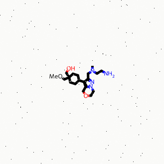 COCC1(CO)CCC(c2c(CN(C)CCN)nn3c2COCC3)CC1